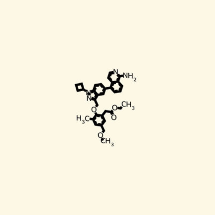 CCOC(=O)Cc1cc(COC)cc(C)c1OCc1nn(C2CCC2)c2ccc(-c3cccc4c(N)nccc34)cc12